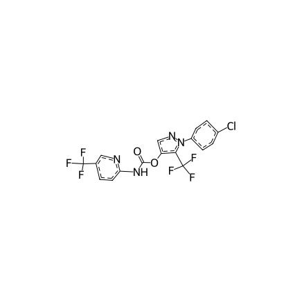 O=C(Nc1ccc(C(F)(F)F)cn1)Oc1cnn(-c2ccc(Cl)cc2)c1C(F)(F)F